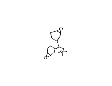 C[Si](C)(C)CC(C1CCC2OC2C1)C1CCC2OC2C1